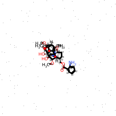 CCN1C[C@]2(COC(=O)c3ccccc3N)CC[C@H](OC)[C@]34[C@@H]5C[C@H]6[C@H](OC)[C@@H]5[C@](O)(C[C@@H]6OC)C(O)([C@@H]13)[C@@H](OC)[C@H]24